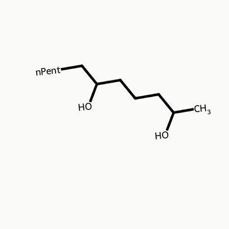 CCCCCCC(O)CCCC(C)O